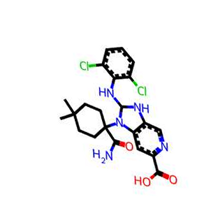 CC1(C)CCC(C(N)=O)(N2c3cc(C(=O)O)ncc3NC2Nc2c(Cl)cccc2Cl)CC1